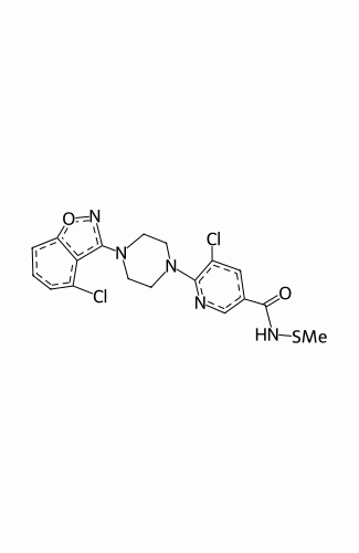 CSNC(=O)c1cnc(N2CCN(c3noc4cccc(Cl)c34)CC2)c(Cl)c1